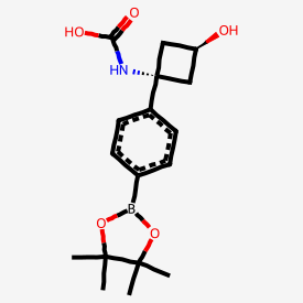 CC1(C)OB(c2ccc([C@]3(NC(=O)O)C[C@H](O)C3)cc2)OC1(C)C